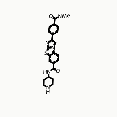 CNC(=O)c1ccc(-c2cn3c(n2)sc2cc(C(=O)NC4CCNCC4)ccc23)cc1